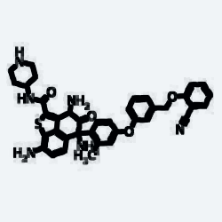 Cc1cc(Oc2cccc(COc3ccccc3C#N)c2)ccc1C1(N)C(=O)C(N)c2c(C(=O)NC3CCNCC3)sc3c(N)ccc1c23